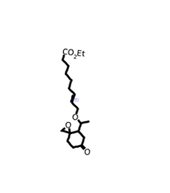 CCOC(=O)CCCCC/C=C/COC(C)C1CC(=O)CCC12CO2